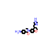 CCN(C(=O)c1ccc(N)cc1)c1ccc2c(c1)C(CC1CNC=N1)CCO2